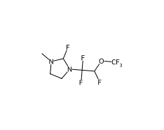 CN1CCN(C(F)(F)C(F)OC(F)(F)F)C1F